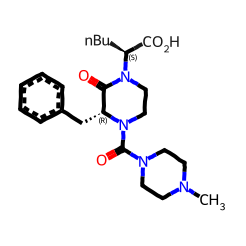 CCCC[C@@H](C(=O)O)N1CCN(C(=O)N2CCN(C)CC2)[C@H](Cc2ccccc2)C1=O